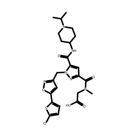 CC(C)N1CCC(NC(=O)c2cc(C(=O)N(C)CC(=O)O)nn2Cc2cc(-c3ccc(Cl)s3)on2)CC1